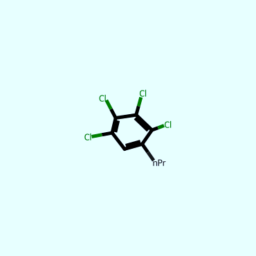 CCCc1cc(Cl)c(Cl)c(Cl)c1Cl